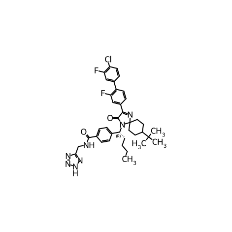 CCCC[C@H](c1ccc(C(=O)NCc2nn[nH]n2)cc1)N1C(=O)C(c2ccc(-c3ccc(Cl)c(F)c3)c(F)c2)=NC12CCC(C(C)(C)C)CC2